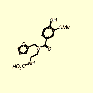 COc1cc(C(=O)N(CCNC(=O)O)Cc2cccs2)ccc1O